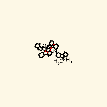 CC1(C)c2ccccc2-c2cc(N(c3ccc4c(c3)C3(c5ccccc5-4)c4ccc5ccccc5c4Oc4c3ccc3ccccc43)c3ccccc3-c3ccccc3)ccc21